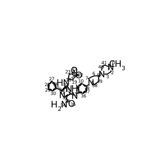 CN1CCN(C2CCN(c3ccc(Nc4nc(NC5CS(=O)(=O)C5)c(-c5ccccc5)nc4C(N)=O)cc3)CC2)CC1